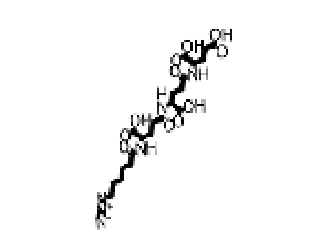 [N-]=[N+]=NCCCCCC(=O)NC(CCC(=O)NC(CCC(=O)NC(CCC(=O)O)C(=O)O)C(=O)O)C(=O)O